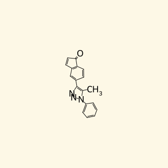 Cc1c(-c2ccc3c(c2)C=CC3=O)nnn1-c1ccccc1